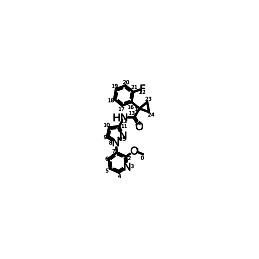 COc1ncccc1-n1ccc(NC(=O)C2(c3ccccc3F)CC2)n1